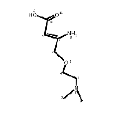 CN(C)CCOC/C(N)=C/C(=O)O